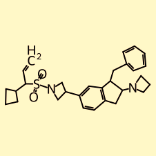 C=CC(C1CCC1)S(=O)(=O)N1CC(c2ccc3c(c2)C(Cc2ccccc2)C(N2CCC2)C3)C1